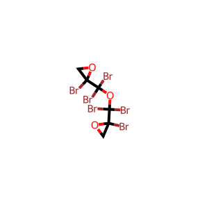 BrC(Br)(OC(Br)(Br)C1(Br)CO1)C1(Br)CO1